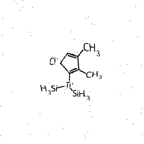 CC1=CC[C]([Ti+]([SiH3])[SiH3])=C1C.[Cl-]